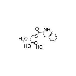 CC(CSC(=O)C(N)Cc1ccccc1)C(=O)O.Cl